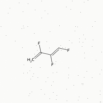 C=C(F)C(F)=CF